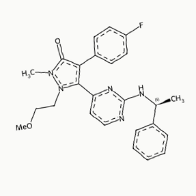 COCCn1c(-c2ccnc(N[C@@H](C)c3ccccc3)n2)c(-c2ccc(F)cc2)c(=O)n1C